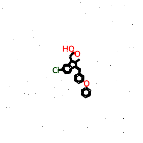 CC1=C(CC(=O)O)c2cc(Cl)ccc2/C1=C\c1cccc(Oc2ccccc2)c1